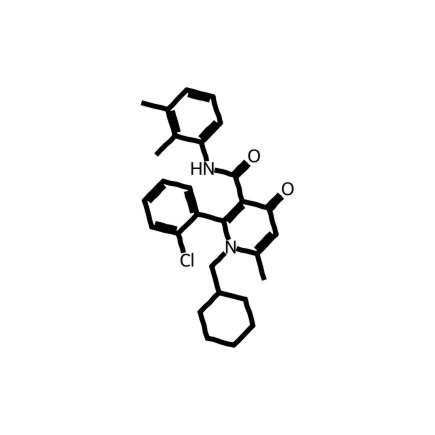 Cc1cccc(NC(=O)c2c(-c3ccccc3Cl)n(CC3CCCCC3)c(C)cc2=O)c1C